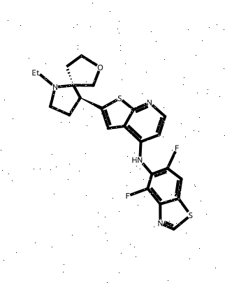 CCN1CC[C@H](c2cc3c(Nc4c(F)cc5scnc5c4F)ccnc3s2)[C@@]12CCOC2